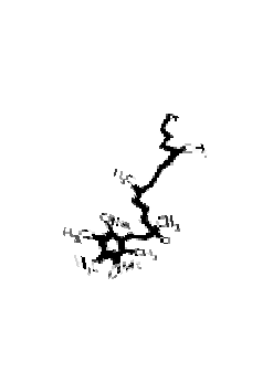 COc1c(C)c(C)c(OC)c(CCC(C)(Cl)CCCC(C)CCCC(C)CCCC(C)C)c1C